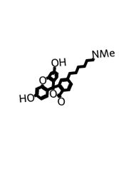 CNCCCCCCc1ccc2c(c1)C1(OC2=O)c2ccc(O)cc2Oc2cc(O)ccc21